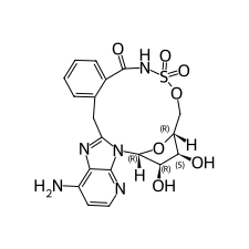 Nc1ccnc2c1nc1n2[C@@H]2O[C@H](COS(=O)(=O)NC(=O)c3ccccc3C1)[C@@H](O)[C@H]2O